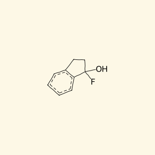 OC1(F)CCc2ccccc21